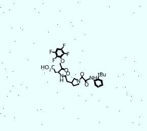 CC(C)(C)c1ccccc1NC(=O)C(=O)N1CCC(CC(=O)N[C@@H](CC(=O)O)C(=O)COc2c(F)c(F)cc(F)c2F)C1